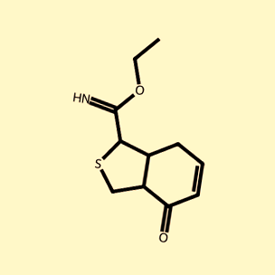 CCOC(=N)C1SCC2C(=O)C=CCC21